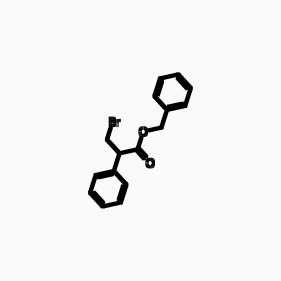 O=C(OCc1ccccc1)C(CBr)c1ccccc1